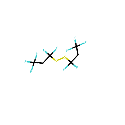 FC(F)(F)CC(F)(F)SSC(F)(F)CC(F)(F)F